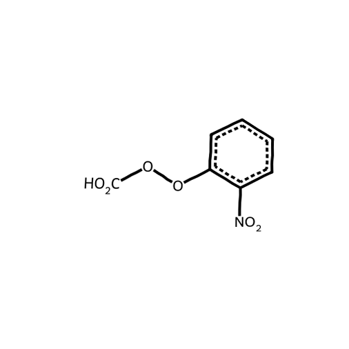 O=C(O)OOc1ccccc1[N+](=O)[O-]